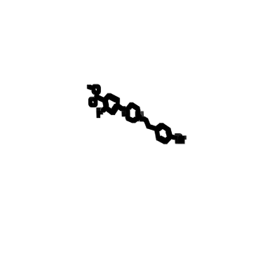 COC(=O)c1ccc(N2CCN(CCc3ccc(Br)cc3)CC2)cc1F